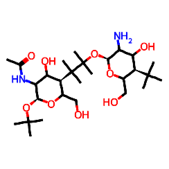 CC(=O)NC1C(O)[C@@H](C(C)(C)C(C)(C)O[C@@H]2OC(CO)[C@H](C(C)(C)C)C(O)C2N)C(CO)O[C@H]1OC(C)(C)C